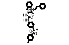 Cc1ccc(S(=O)(=O)Nc2ccc(NC(=O)N[C@H](Cc3ccccc3)C(=O)NCCc3ccccc3)cc2)cc1